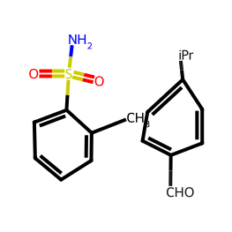 CC(C)c1ccc(C=O)cc1.Cc1ccccc1S(N)(=O)=O